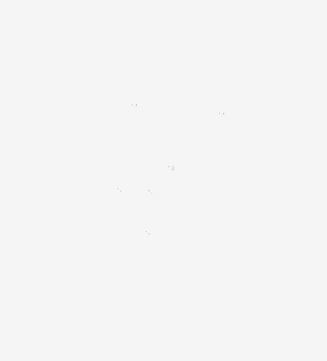 COc1cc(Nc2cc(C(F)(F)F)nc(-c3ccccn3)n2)cc(OC)c1